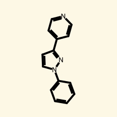 c1ccc(-n2ccc(-c3ccncc3)n2)cc1